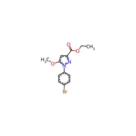 CCOC(=O)c1cc(OC)n(-c2ccc(Br)cc2)n1